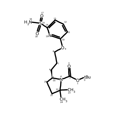 CC(C)(C)OC(=O)N1[C@H](CCCOc2cccc(S(N)(=O)=O)n2)CCC1(C)C